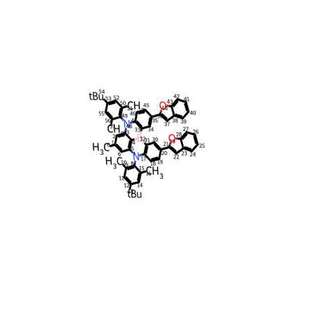 Cc1cc2c3c(c1)N(c1c(C)cc(C(C)(C)C)cc1C)c1ccc(-c4cc5ccccc5o4)cc1B3c1cc(-c3cc4ccccc4o3)ccc1N2c1c(C)cc(C(C)(C)C)cc1C